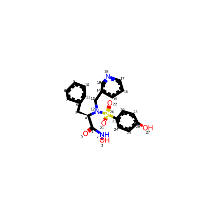 O=C(NO)[C@@H](Cc1ccccc1)N(Cc1cccnc1)S(=O)(=O)c1ccc(O)cc1